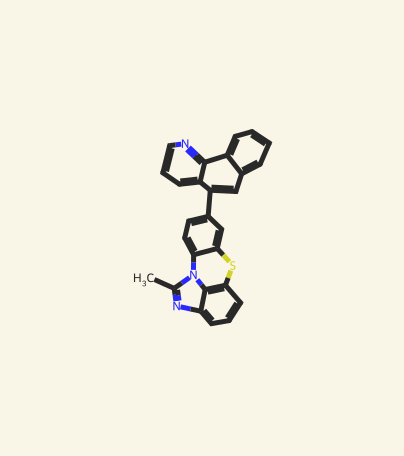 Cc1nc2cccc3c2n1-c1ccc(-c2cc4ccccc4c4ncccc24)cc1S3